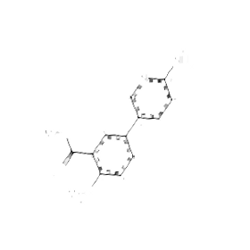 COC(=O)c1cc(-c2ccc(N)nc2)ccc1OC